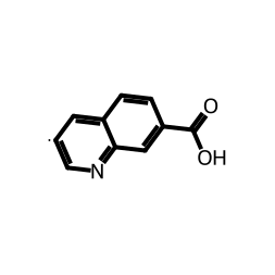 O=C(O)c1ccc2c[c]cnc2c1